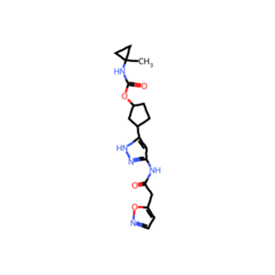 CC1(NC(=O)OC2CCC(c3cc(NC(=O)Cc4ccno4)n[nH]3)C2)CC1